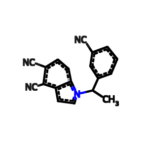 CC(c1cccc(C#N)c1)n1ccc2c(C#N)c(C#N)ccc21